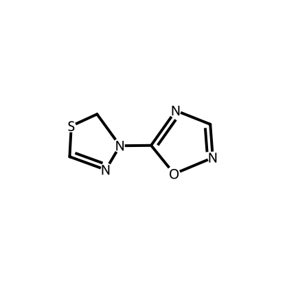 C1=NN(c2ncno2)CS1